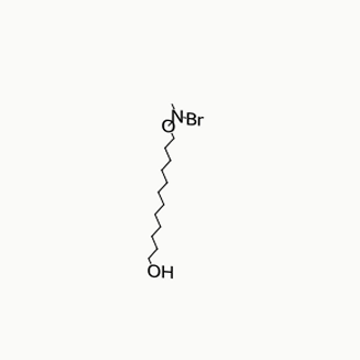 CN(Br)OCCCCCCCCCCCCO